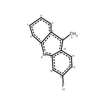 Cc1c2ccccc2nc2cc(F)ccc12